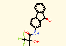 CC(O)(C(=O)Nc1ccc2c(c1)C(=O)c1ccccc1-2)C(F)(F)F